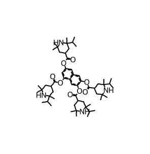 CC(C)C1(C)CC(C(=O)Oc2cc(OC(=O)C3CC(C)(C)NC(C)(C(C)C)C3)c3cc(OC(=O)C4CC(C)(C)NC(C)(C(C)C)C4)c(OC(=O)C4CC(C)(C)NC(C)(C(C)C)C4)cc3c2)CC(C)(C)N1